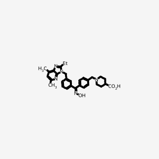 CCc1nc2c(C)cc(C)nc2n1Cc1cccc(/C(=N/O)c2ccc(CN3CCC(C(=O)O)CC3)cc2)c1